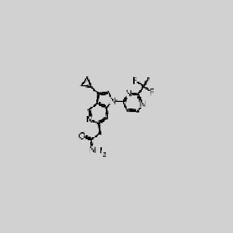 CC(F)(F)c1nccc(-n2cc(C3CC3)c3cnc(CC(N)=O)cc32)n1